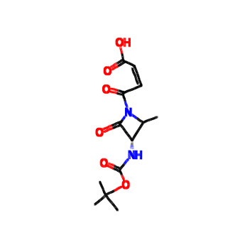 CC1[C@H](NC(=O)OC(C)(C)C)C(=O)N1C(=O)/C=C\C(=O)O